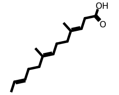 C/C=C/CC/C(C)=C/CC/C(C)=C/CC(=O)O